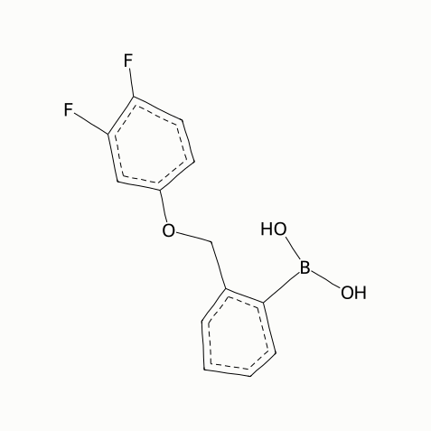 OB(O)c1ccccc1COc1ccc(F)c(F)c1